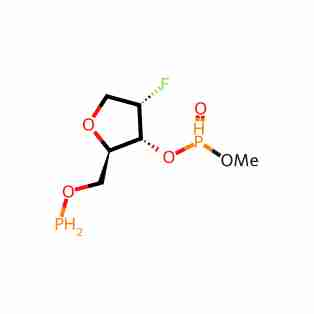 CO[PH](=O)O[C@H]1[C@@H](F)CO[C@@H]1COP